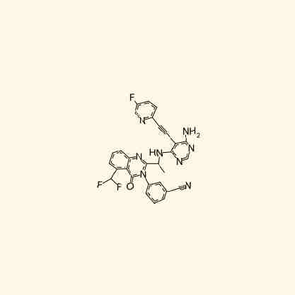 CC(Nc1ncnc(N)c1C#Cc1ccc(F)cn1)c1nc2cccc(C(F)F)c2c(=O)n1-c1cccc(C#N)c1